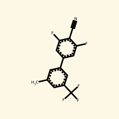 Cc1cc(-c2cc(F)c(C#N)c(F)c2)cc(C(F)(F)F)c1